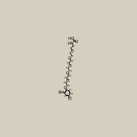 O=C(O)NCCOCCOCCOCCOCCOCCOc1ccc(Cl)cc1Br